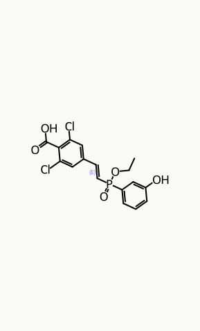 CCOP(=O)(/C=C/c1cc(Cl)c(C(=O)O)c(Cl)c1)c1cccc(O)c1